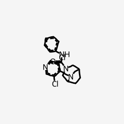 O=C(Nc1ccccc1)N1CC2CCC(C1)N(c1c(Cl)cncc1Cl)C2